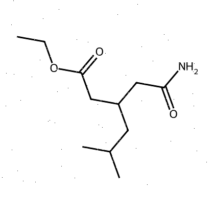 CCOC(=O)CC(CC(N)=O)CC(C)C